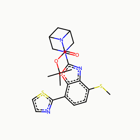 CSc1ccc(-c2nccs2)c2oc(N3CC4CC(C3)N4C(=O)OC(C)(C)C)nc12